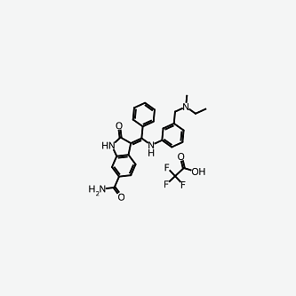 CCN(C)Cc1cccc(NC(=C2C(=O)Nc3cc(C(N)=O)ccc32)c2ccccc2)c1.O=C(O)C(F)(F)F